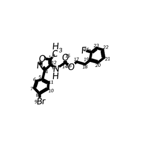 Cc1onc(-c2ccc(Br)cc2)c1NC(=O)OCCc1ccccc1F